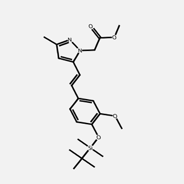 COC(=O)Cn1nc(C)cc1C=Cc1ccc(O[Si](C)(C)C(C)(C)C)c(OC)c1